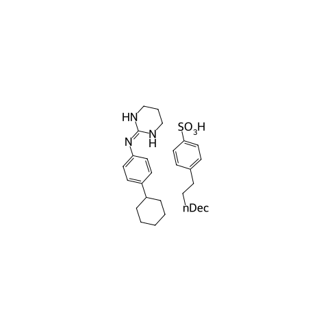 CCCCCCCCCCCCc1ccc(S(=O)(=O)O)cc1.c1cc(C2CCCCC2)ccc1N=C1NCCCN1